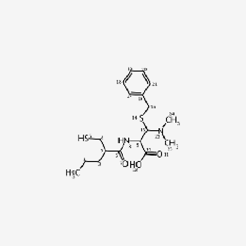 CCCC(CS)C(=O)NC(C(=O)O)C(SCc1ccccc1)N(C)C